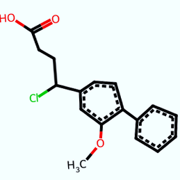 COc1cc(C(Cl)CCC(=O)O)ccc1-c1ccccc1